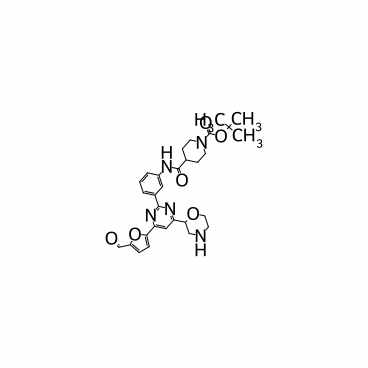 CC(C)(C)OC(=O)N1CCC(C(=O)Nc2cccc(-c3nc(-c4ccc(C=O)o4)cc(C4CNCCO4)n3)c2)CC1